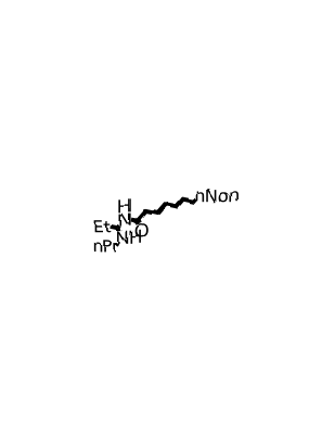 CCCCCCCCCCCCCCCC(=O)NC(CC)NCCC